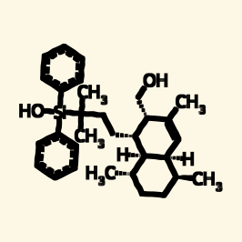 CC1=C[C@@H]2[C@H]([C@H](CCC(C)(C)[Si](O)(c3ccccc3)c3ccccc3)[C@@H]1CO)[C@@H](C)CC[C@@H]2C